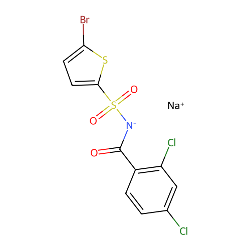 O=C([N-]S(=O)(=O)c1ccc(Br)s1)c1ccc(Cl)cc1Cl.[Na+]